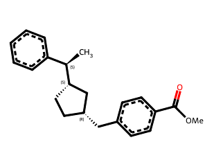 COC(=O)c1ccc(C[C@@H]2CC[C@H]([C@H](C)c3ccccc3)C2)cc1